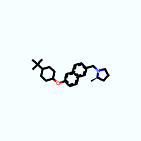 C[C@@H]1CCCN1Cc1ccc2cc(OC3CCC(C(C)(C)C)CC3)ccc2c1